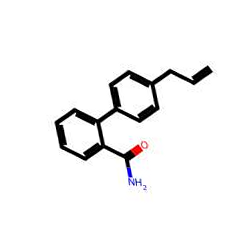 C=CCc1ccc(-c2ccccc2C(N)=O)cc1